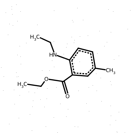 CCNc1ccc(C)cc1C(=O)OCC